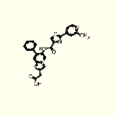 Cc1cc(-c2nc(C(=O)Nc3cn4cc(CC(=O)O)nc4cc3-c3ccccc3)co2)ccn1